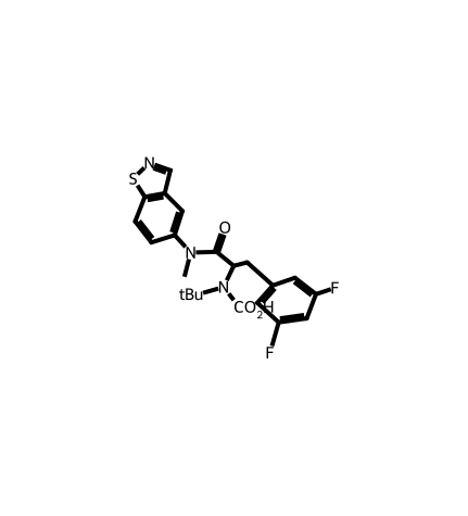 CN(C(=O)C(Cc1cc(F)cc(F)c1)N(C(=O)O)C(C)(C)C)c1ccc2sncc2c1